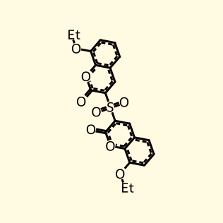 CCOc1cccc2cc(S(=O)(=O)c3cc4cccc(OCC)c4oc3=O)c(=O)oc12